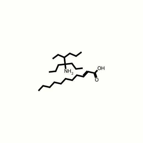 CCCC(CC)C(N)(CCC)CCC.CCCCCCCCC=CC(=O)O